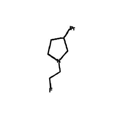 CC(C)C1CCN(CCF)C1